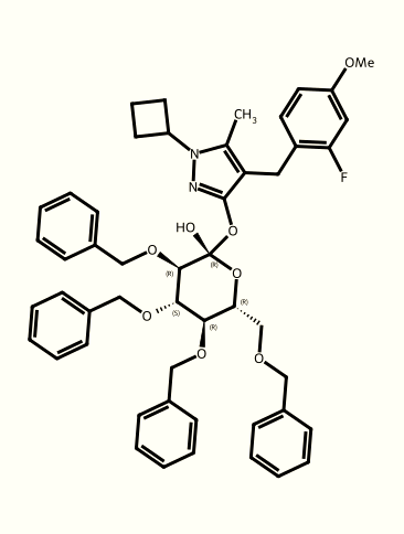 COc1ccc(Cc2c(O[C@]3(O)O[C@H](COCc4ccccc4)[C@@H](OCc4ccccc4)[C@H](OCc4ccccc4)[C@H]3OCc3ccccc3)nn(C3CCC3)c2C)c(F)c1